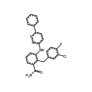 NC(=O)c1cccc(Nc2ccc(-c3ccccc3)nn2)c1Cc1ccc(F)c(Cl)c1